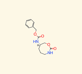 O=C1NCCC[C@H](NC(=O)OCc2ccccc2)CO1